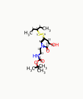 CCC(CC)SSC(=CN(C=O)CCNC(=O)OC(C)(C)C)CCO